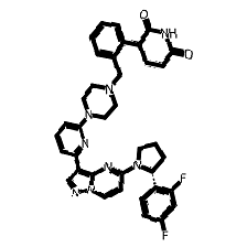 O=C1CCC(c2ccccc2CN2CCN(c3cccc(-c4cnn5ccc(N6CCC[C@@H]6c6ccc(F)cc6F)nc45)n3)CC2)C(=O)N1